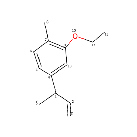 [CH2]C(C=C)c1ccc(C)c(OCC)c1